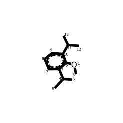 COc1c([C](C)C)cccc1C(C)C